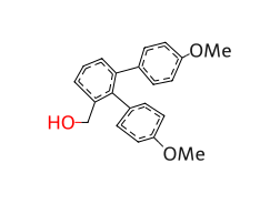 COc1ccc(-c2cccc(CO)c2-c2ccc(OC)cc2)cc1